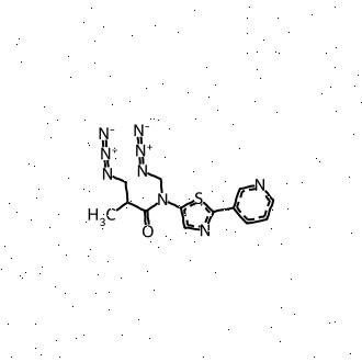 CC(CN=[N+]=[N-])C(=O)N(CN=[N+]=[N-])c1cnc(-c2cccnc2)s1